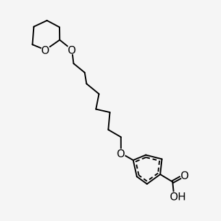 O=C(O)c1ccc(OCCCCCCCCOC2CCCCO2)cc1